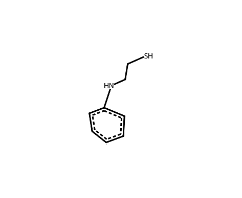 SCCNc1cc[c]cc1